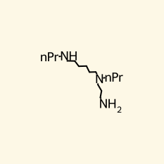 CCCNCCCCCCN(CCC)CCCN